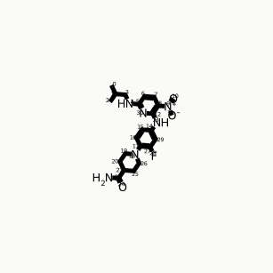 CC(C)CNc1ccc([N+](=O)[O-])c(Nc2ccc(N3CCC(C(N)=O)CC3)c(F)c2)n1